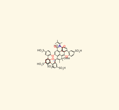 C/C=C(/Oc1ccc(S(=O)(=O)O)cc1-c1ccc(S(=O)(=O)O)cc1)C1=C(C)C(C)(OC)c2c(Oc3ccc(S(=O)(=O)O)cc3-c3ccc(S(=O)(=O)O)cc3)cc3c4c(cc(Oc5ccc(S(=O)(=O)O)cc5-c5ccc(S(=O)(=O)O)cc5)c1c24)C(=O)N(C(C)=C(C)C)C3=O